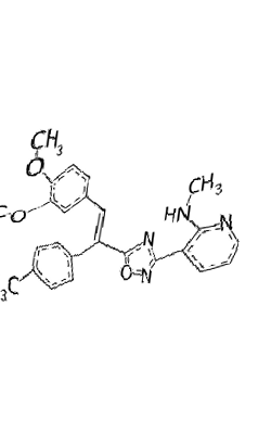 CNc1ncccc1-c1noc(C(=Cc2ccc(OC)c(OC)c2)c2ccc(C)cc2)n1